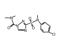 CN(C)C(=O)n1cnc(S(=O)(=O)N(C)c2ccc(Cl)cc2)n1